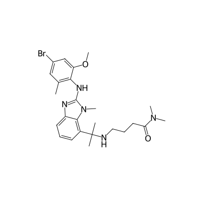 COc1cc(Br)cc(C)c1Nc1nc2cccc(C(C)(C)NCCCC(=O)N(C)C)c2n1C